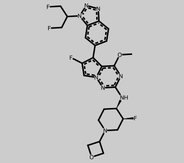 COc1nc(N[C@@H]2CCN(C3COC3)C[C@@H]2F)nn2cc(F)c(-c3ccc4nnn(C(CF)CF)c4c3)c12